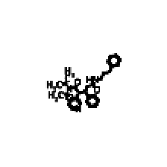 CC(C)N(C(=O)C(c1cccnc1)C(CC(=O)NCCCc1ccccc1)c1ccccc1)C(C)C